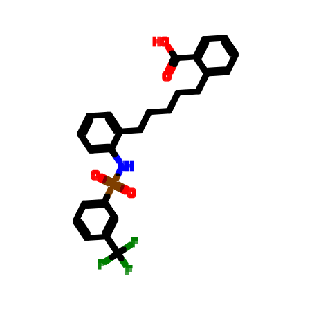 O=C(O)c1ccccc1CCCCCc1ccccc1NS(=O)(=O)c1cccc(C(F)(F)F)c1